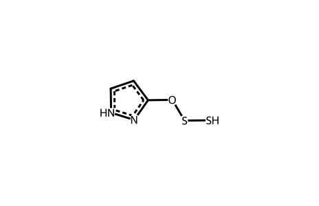 SSOc1cc[nH]n1